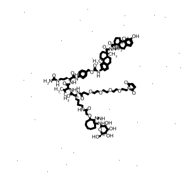 CC(C)[C@H](NC(=O)[C@@H](CCCCNC(=O)COC1CCCCC/C(N[C@@H]2O[C@H](CO)[C@H](O)[C@H](O)[C@H]2O)=C\1N=N)NC(=O)CCOCCOCCOCCOCCN1C(=O)C=CC1=O)C(=O)N[C@@H](CCCNC(N)=O)C(=O)Nc1ccc(COC(=O)Nc2ccc3c(c2)[C@@]2(C)CCC[C@](C)(C(=O)NC(=O)[C@@]4(C)CCC[C@]5(C)c6cc(O)ccc6CC[C@@H]45)C2CC3)cc1